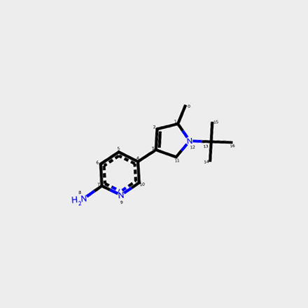 CC1C=C(c2ccc(N)nc2)CN1C(C)(C)C